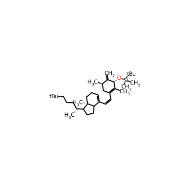 C=C1[C@H](O[Si](C)(C)C(C)(C)C)C(C)=C(/C=C\C2=CCC[C@@]3(C)C2CCC3[C@H](C)CCCC(C)(C)C)C[C@H]1C